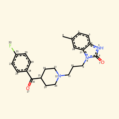 Cc1ccc2[nH]c(=O)n(CCCN3CCC(C(=O)c4ccc(F)cc4)CC3)c2c1